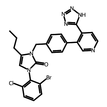 CCCc1cn(-c2c(Cl)cccc2Br)c(=O)n1Cc1ccc(-c2cnccc2-c2nnn[nH]2)cc1